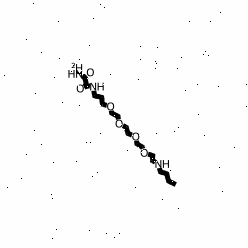 [2H]NC(=O)C(=O)NCCCOCCOCCOCCOCCNCCCC